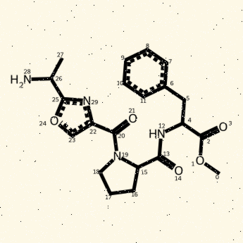 COC(=O)C(Cc1ccccc1)NC(=O)C1CCCN1C(=O)c1coc(C(C)N)n1